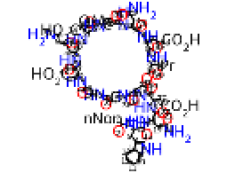 CCCCCCCCCC(=O)NC(Cc1c[nH]c2ccccc12)C(=O)NC(CC(N)=O)C(=O)NC(CC(=O)O)C(=O)NC1C(=O)N(C)CC(=O)NC(C)C(=O)NC(CC(=O)O)C(=O)NC(CCCCN)C(=O)NC(C(OC)C(=O)O)C(=O)NCC(=O)NC(CC(N)=O)C(=O)NC(CCC(=O)O)C(=O)NC(C(C)C)C(=O)OC1C